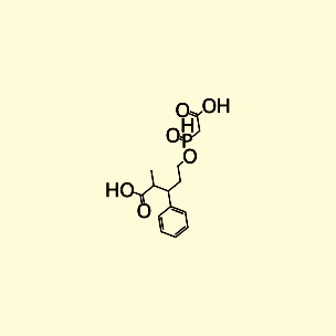 CC(C(=O)O)C(CCO[PH](=O)CC(=O)O)c1ccccc1